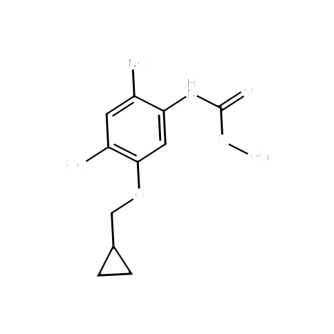 CC(C)(C)OC(=O)Nc1cc(OCC2CC2)c(C(F)(F)F)cc1[N+](=O)[O-]